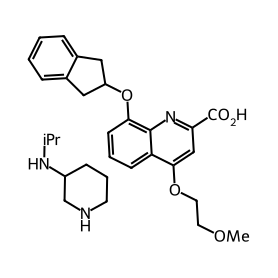 CC(C)NC1CCCNC1.COCCOc1cc(C(=O)O)nc2c(OC3Cc4ccccc4C3)cccc12